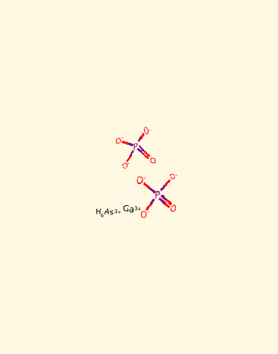 O=P([O-])([O-])[O-].O=P([O-])([O-])[O-].[AsH6+3].[Ga+3]